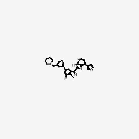 Fc1cc(-c2cncc(CN3CCCCC3)c2)cc2c(-c3nc4c(-c5ccoc5)ccnc4[nH]3)n[nH]c12